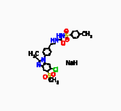 CCc1nc2cc(S(C)(=O)=O)c(Cl)cc2n1-c1ccc(CCNC(=O)NS(=O)(=O)c2ccc(C)cc2)cc1.[NaH]